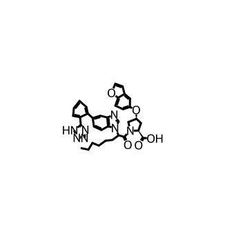 CCCCCCC(C(=O)N1C[C@@H](Oc2ccc3occc3c2)C[C@H]1C(=O)O)n1cnc2cc(-c3ccccc3-c3nnn[nH]3)ccc21